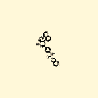 O=C(Nc1ccc(C2=NNC(=O)[C@@](c3cccc4ncccc34)(C(F)(F)F)C2)cc1)N1Cc2ccncc2C1